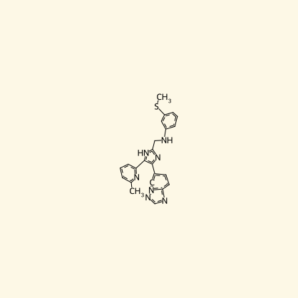 CSc1cccc(NCc2nc(-c3ccc4ncnn4c3)c(-c3cccc(C)n3)[nH]2)c1